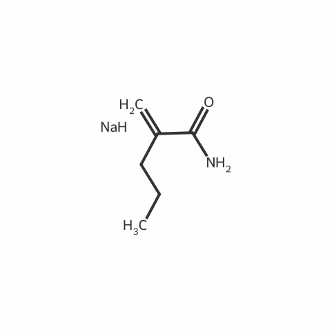 C=C(CCC)C(N)=O.[NaH]